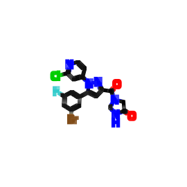 O=C1CN(C(=O)c2cc(-c3cc(F)cc(Br)c3)n(-c3ccnc(Cl)c3)n2)CN1